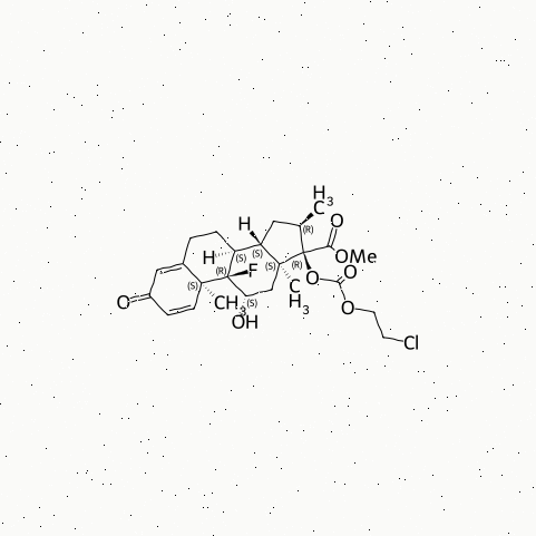 COC(=O)[C@@]1(OC(=O)OCCCl)[C@H](C)C[C@H]2[C@@H]3CCC4=CC(=O)C=C[C@]4(C)[C@@]3(F)[C@@H](O)C[C@@]21C